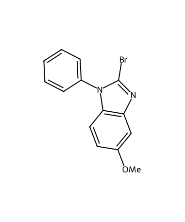 COc1ccc2c(c1)nc(Br)n2-c1ccccc1